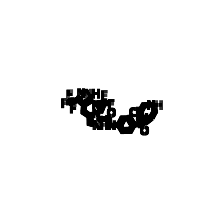 O=C(Nc1ccc(C(=O)N2C3CCC2CNC3)c(Cl)c1)c1ncc(Cc2c(C(F)(F)F)n[nH]c2[C@@H]2CC2(F)F)[nH]1